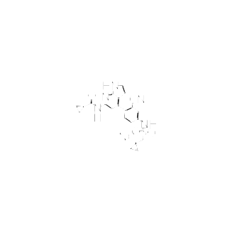 N#Cc1cc(NS(=O)(=O)CC2(C#N)CC2)ccc1-c1cc(NC(=O)C2CC2)nc2[nH]ccc12